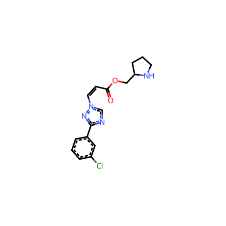 O=C(/C=C\n1cnc(-c2cccc(Cl)c2)n1)OCC1CCCN1